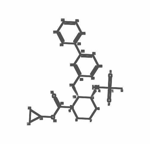 CS(=O)(=O)N[C@@H]1CCCN(C(=O)OC2CC2)[C@@H]1Cc1cccc(-c2ccccc2)c1